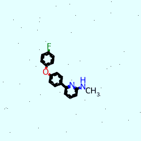 CNc1cccc(-c2ccc(Oc3ccc(F)cc3)cc2)n1